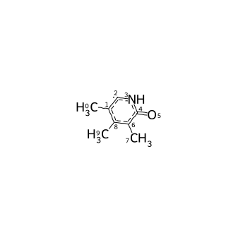 Cc1[c][nH]c(=O)c(C)c1C